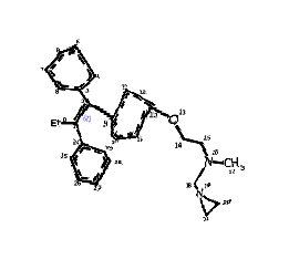 CC/C(=C(\c1ccccc1)c1ccc(OCCN(C)CN2CC2)cc1)c1ccccc1